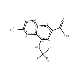 Cc1cnc2cc(C(=O)O)cc(OC(F)(F)F)c2n1